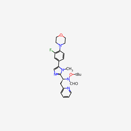 Cn1c(-c2ccc(N3CCOCC3)c(F)c2)cnc1[C@H](Cc1ccccn1)N(C=O)OC(C)(C)C